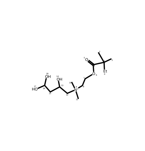 CCC(C)(C)C(=O)OCC[N+](C)(C)CC(O)CC(O)O